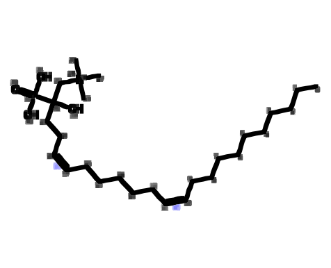 CCCCCCCCCC/C=C\CCCCC/C=C\CCC(O)(C[N+](C)(C)C)P(=O)(O)O